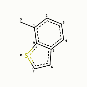 Cc1cccc2c[c]sc12